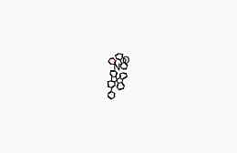 c1ccc(-c2ccc3c(c2)C2(c4ccccc4-c4ccccc42)c2cc(N(c4ccccc4)c4cccc5oc6ccccc6c45)ccc2-3)cc1